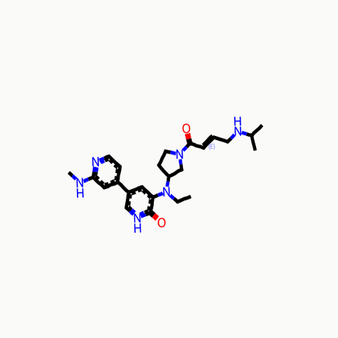 CCN(c1cc(-c2ccnc(NC)c2)c[nH]c1=O)C1CCN(C(=O)/C=C/CNC(C)C)C1